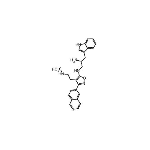 N[C@H](CNc1onc(-c2ccc3cnccc3c2)c1CCNC(=O)O)Cc1c[nH]c2ccccc12